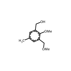 COCc1cc(C)cc(CO)c1OC